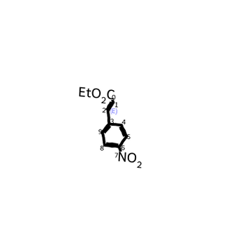 CCOC(=O)/C=C/c1ccc([N+](=O)[O-])cc1